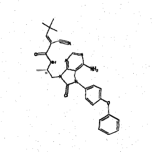 C[C@@H](Cn1c(=O)n(-c2ccc(Oc3ccccc3)cc2)c2c(N)ncnc21)NC(=O)C(C#N)=CC(C)(C)C